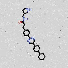 O=C(CCc1ccc(-c2ncc(C3=CCC(C4CCCCC4)CC3)cn2)cc1)NCC1CCNC1